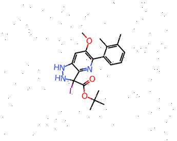 COc1cc2c(nc1-c1cccc(C)c1C)C(I)(C(=O)OC(C)(C)C)NN2